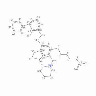 C=C(CC)CCCCCc1cc(CCc2cccc(-c3ccccc3)c2C)c2c(c1CN1CCCCC1)CCC2